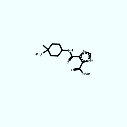 CNC(=O)c1[nH]cnc1C(=O)NC1CCC(C)(C(=O)O)CC1